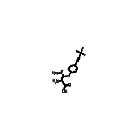 NN/C(Oc1ccc(C#CC(F)(F)F)cc1)=C(\N)C(=O)O